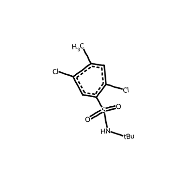 Cc1cc(Cl)c(S(=O)(=O)NC(C)(C)C)cc1Cl